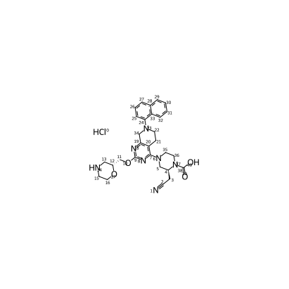 Cl.N#CC[C@H]1CN(c2nc(OC[C@H]3CNCCO3)nc3c2CCN(c2cccc4ccccc24)C3)CCN1C(=O)O